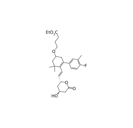 CCOC(=O)CCCOC1CC(c2ccc(F)c(C)c2)=C(C=C[C@H]2C[C@H](O)CC(=O)O2)C(C)(C)C1